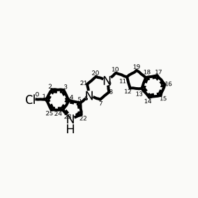 Clc1ccc2c(N3CCN(CC4Cc5ccccc5C4)CC3)c[nH]c2c1